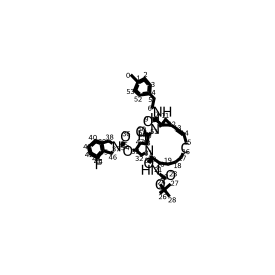 Cc1ccc(CCNC(=O)C23CC2/C=C\CCCCCC(NC(=O)OC(C)(C)C)C(=O)N2CC(OC(=O)N4Cc5cccc(F)c5C4)C[C@H]2C(=O)N3)cc1